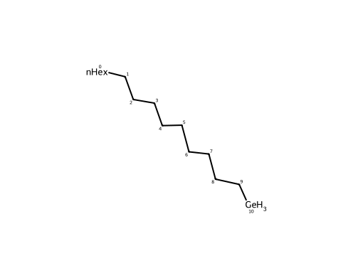 CCCCCCCCCCCCCC[CH2][GeH3]